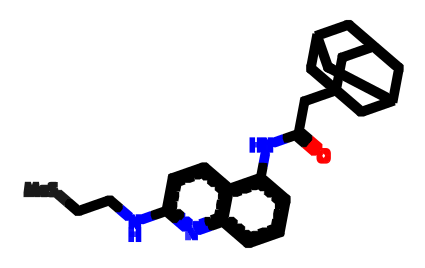 CSCCNc1ccc2c(NC(=O)CC34CC5CC(CC(C5)C3)C4)cccc2n1